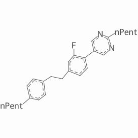 CCCCCc1ccc(CCc2ccc(-c3cnc(CCCCC)nc3)c(F)c2)cc1